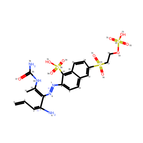 C=C/C=C(/N)C(/N=N/c1ccc2cc(S(=O)(=O)CCOS(=O)(=O)O)ccc2c1S(=O)(=O)O)=C(C)NC(N)=O